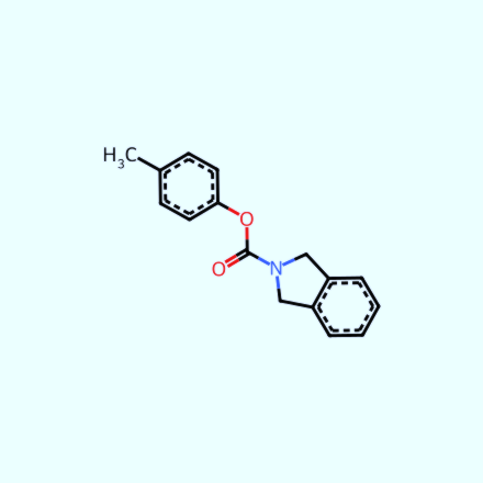 Cc1ccc(OC(=O)N2Cc3ccccc3C2)cc1